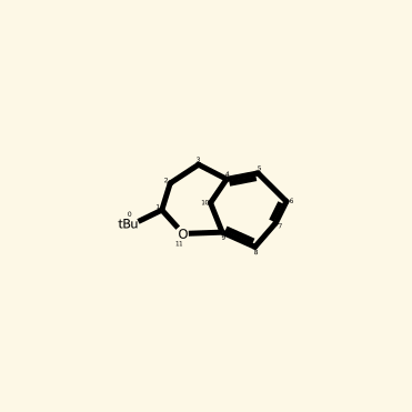 CC(C)(C)C1CCC2=CC=CC=C(C2)O1